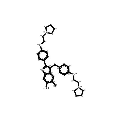 Oc1cc2sc(-c3ccc(OCCN4CCCC4)cc3)c(Cc3ccc(OCCN4CCCC4)cc3)c2cc1F